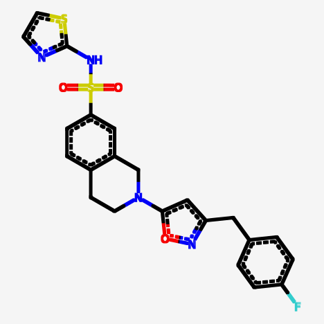 O=S(=O)(Nc1nccs1)c1ccc2c(c1)CN(c1cc(Cc3ccc(F)cc3)no1)CC2